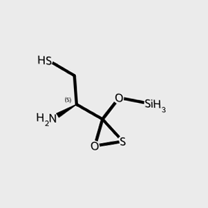 N[C@@H](CS)C1(O[SiH3])OS1